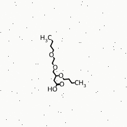 CCCCOCCOCC(CC(=O)O)OCCCC